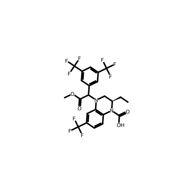 CC[C@@H]1CN(C(C(=O)OC)c2cc(C(F)(F)F)cc(C(F)(F)F)c2)c2cc(C(F)(F)F)ccc2N1C(=O)O